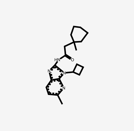 Cc1ccc2nc(NC(=O)CC3(C)CCCCC3)n(C3CCC3)c2n1